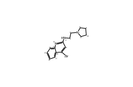 Brc1cc(NCCN2CCCC2)nc2ccccc12